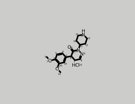 COc1ccc(C2CC=NN(C3CCNCC3)C2=O)cc1OC.Cl